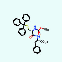 CC(C)(C)OC(=O)N[C@@H](CSC(c1ccccc1)(c1ccccc1)c1ccccc1)C(=O)N[C@@H](Cc1ccccc1)C(=O)O